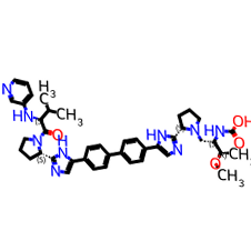 CO[C@H](C)[C@H](CN1CCC[C@H]1c1ncc(-c2ccc(-c3ccc(-c4cnc([C@@H]5CCCN5C(=O)[C@@H](Nc5cccnc5)C(C)C)[nH]4)cc3)cc2)[nH]1)NC(=O)O